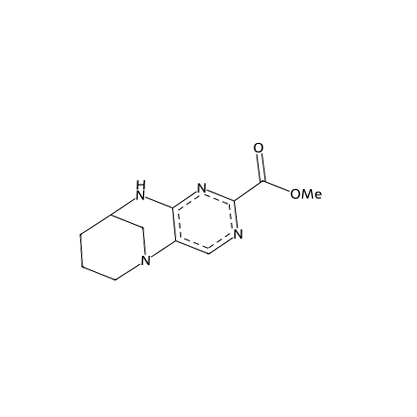 COC(=O)c1ncc2c(n1)NC1CCCN2C1